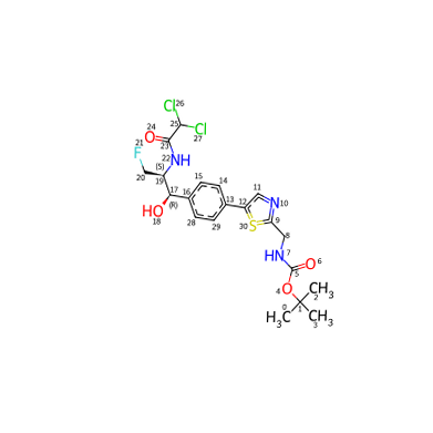 CC(C)(C)OC(=O)NCc1ncc(-c2ccc([C@@H](O)[C@@H](CF)NC(=O)C(Cl)Cl)cc2)s1